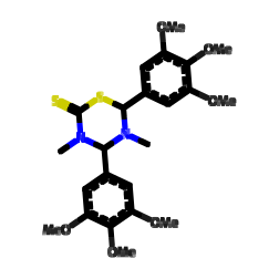 COc1cc(C2SC(=S)N(C)C(c3cc(OC)c(OC)c(OC)c3)N2C)cc(OC)c1OC